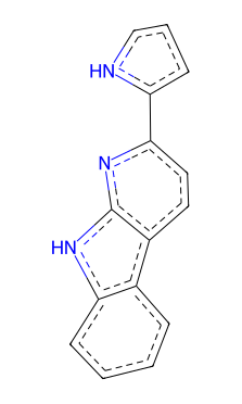 c1c[nH]c(-c2ccc3c(n2)[nH]c2ccccc23)c1